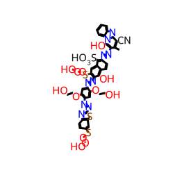 Cc1c(N=Nc2ccc3c(O)c(N=Nc4cc(OCCO)c(N=Nc5nc6ccc(SOOO)cc6s5)cc4OCCO)c(SOOO)cc3c2S(=O)(=O)O)c(O)n2c(nc3ccccc32)c1C#N